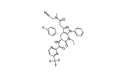 CCN1C(=O)[C@@H](NC(=O)c2nccc(C(F)(F)F)n2)[C@H](c2ccc(F)cc2)c2c(CC(=O)N(C)CC#N)nn(-c3ccccc3)c21